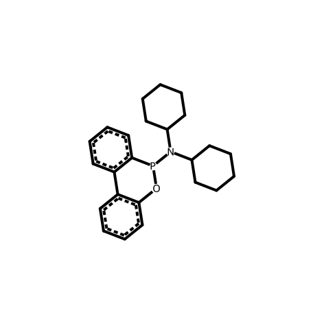 c1ccc2c(c1)OP(N(C1CCCCC1)C1CCCCC1)c1ccccc1-2